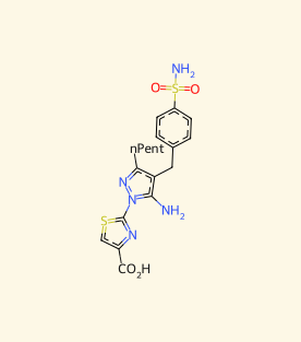 CCCCCc1nn(-c2nc(C(=O)O)cs2)c(N)c1Cc1ccc(S(N)(=O)=O)cc1